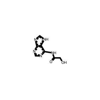 O=C(CO)Nc1ncnc2nc[nH]c12